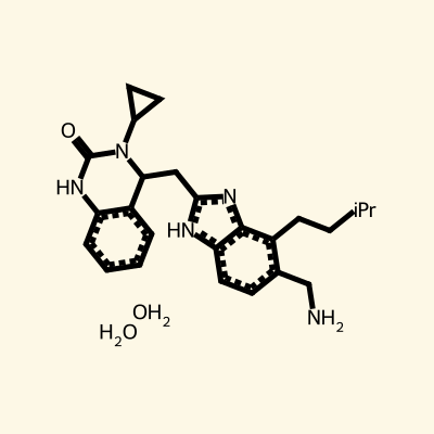 CC(C)CCc1c(CN)ccc2[nH]c(CC3c4ccccc4NC(=O)N3C3CC3)nc12.O.O